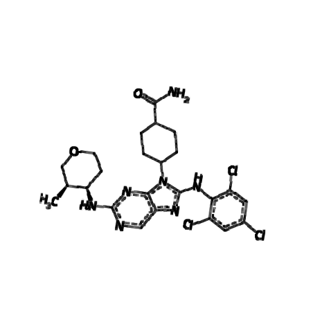 C[C@H]1COCC[C@H]1Nc1ncc2nc(Nc3c(Cl)cc(Cl)cc3Cl)n(C3CCC(C(N)=O)CC3)c2n1